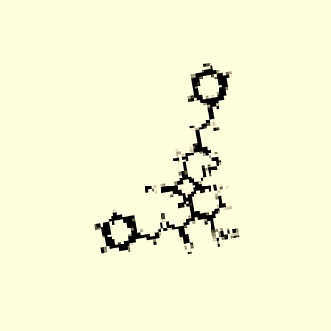 COC1=C(C(=O)OCc2ccccc2)N2C(=O)[C@@H](NC(=O)COc3ccccc3)[C@H]2SC1